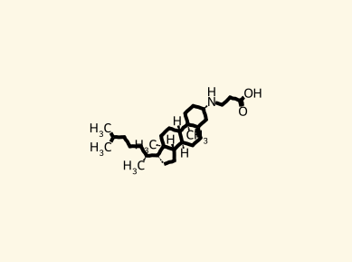 CC(C)CCC[C@@H](C)[C@H]1CC[C@H]2[C@@H]3CC=C4C[C@@H](NCCC(=O)O)CC[C@]4(C)[C@H]3CC[C@]12C